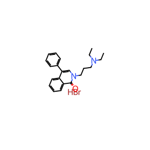 Br.CCN(CC)CCCn1cc(-c2ccccc2)c2ccccc2c1=O